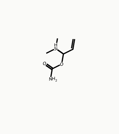 C=CC(OC(N)=O)[SiH](C)C